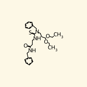 CCOC(CCN(Cc1ccccc1)C(=S)NCCC(=O)NCc1ccccc1)OCC